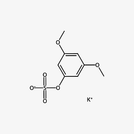 COc1cc(OC)cc(OS(=O)(=O)[O-])c1.[K+]